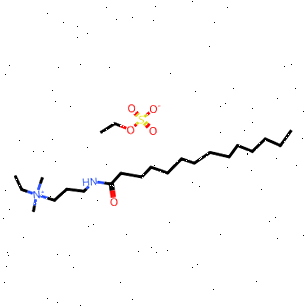 CCCCCCCCCCCCCC(=O)NCCC[N+](C)(C)CC.CCOS(=O)(=O)[O-]